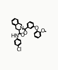 COc1ccccc1Oc1cccc(C(=O)N2Cc3ccccc3CC2C(=O)Nc2ccc(Cl)cc2)c1